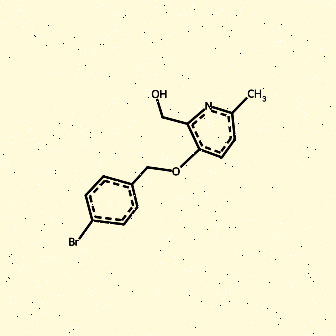 Cc1ccc(OCc2ccc(Br)cc2)c(CO)n1